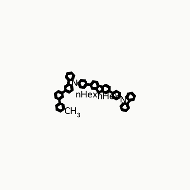 CCCCCCC1(CCCCCC)c2cc(-c3ccc(-n4c5ccccc5c5ccccc54)cc3)ccc2-c2ccc(-c3ccc(-n4c5ccccc5c5cc(-c6cccc(-c7cccc(C)c7)c6)ccc54)cc3)cc21